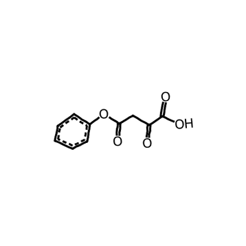 O=C(CC(=O)C(=O)O)Oc1ccccc1